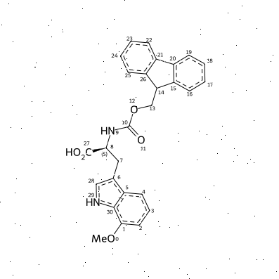 COc1cccc2c(C[C@H](NC(=O)OCC3c4ccccc4-c4ccccc43)C(=O)O)c[nH]c12